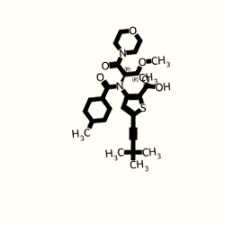 CO[C@H](C)[C@H](C(=O)N1CCOCC1)N(C(=O)C1CCC(C)CC1)c1cc(C#CC(C)(C)C)sc1C(=O)O